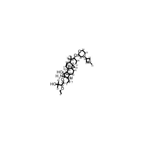 CCO[C@@H]([C@H]1C[C@@H](C)[C@H]2[C@](N)(O1)[C@H](O)[C@@]1(C)[C@@H]3C=CC4C(C)(C)[C@@H](O[C@H]5CN(C6CN(C)C6)CCO5)CC[C@@]45C[C@@]35CC[C@]21C)C(C)(C)O